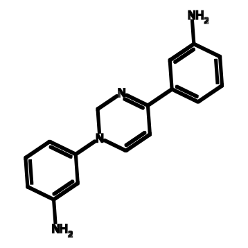 Nc1cccc(C2=NCN(c3cccc(N)c3)C=C2)c1